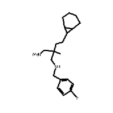 CNCC(C)(CCC1C2CCCCC21)CNCc1ccc(F)cc1